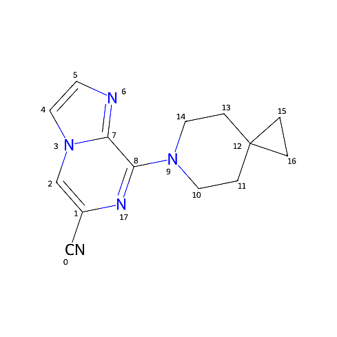 N#Cc1cn2ccnc2c(N2CCC3(CC2)CC3)n1